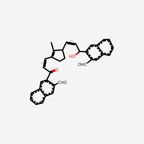 CC1=C(/C=C\C(=O)c2cc3ccccc3cc2C=O)CCC1/C=C\C(O)c1cc2ccccc2cc1C=O